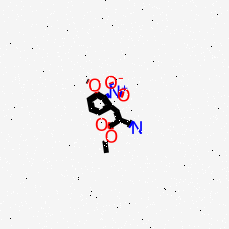 CCOC(=O)C(C#N)=Cc1cccc(OC)c1[N+](=O)[O-]